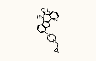 C=C1NC2=C(Cc3c2cccc3N2CCN(CC3CC3)CC2)c2ncccc21